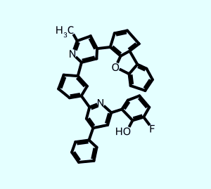 Cc1cc(-c2cccc3c2oc2ccccc23)cc(-c2cccc(-c3cc(-c4ccccc4)cc(-c4cccc(F)c4O)n3)c2)n1